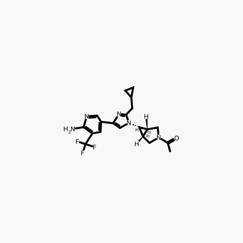 CC(=O)N1C[C@@H]2[C@H](C1)[C@@H]2n1cc(-c2cnc(N)c(C(F)(F)F)c2)nc1CC1CC1